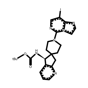 CC(C)(C)OC(=O)N[C@@H]1c2cccnc2CC12CCN(c1ncc(I)c3nccn13)CC2